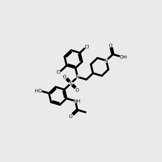 CC(=O)Nc1ccc(O)cc1S(=O)(=O)N(CC1CCN(C(=O)O)CC1)c1cc(Cl)ccc1Cl